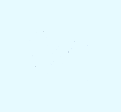 CP(=O)(Oc1c2ccccc2cc2ccccc12)Oc1c2ccccc2cc2ccccc12